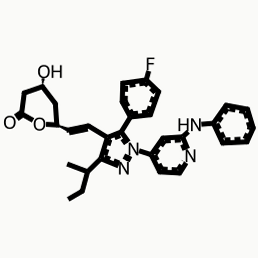 CCC(C)c1nn(-c2ccnc(Nc3ccccc3)c2)c(-c2ccc(F)cc2)c1/C=C/[C@@H]1C[C@@H](O)CC(=O)O1